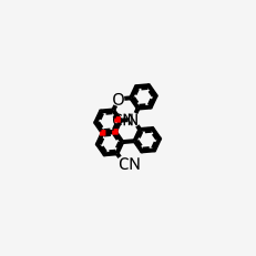 N#Cc1cccc(C#N)c1-c1ccccc1N1c2ccccc2Oc2ccccc21